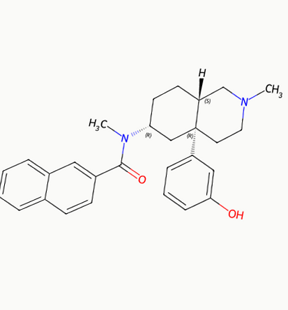 CN1CC[C@@]2(c3cccc(O)c3)C[C@H](N(C)C(=O)c3ccc4ccccc4c3)CC[C@@H]2C1